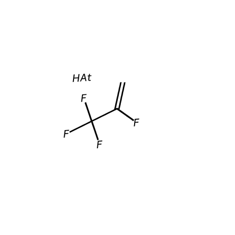 C=C(F)C(F)(F)F.[AtH]